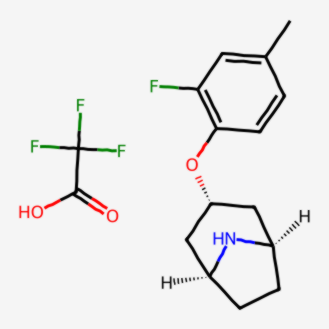 Cc1ccc(O[C@@H]2C[C@H]3CC[C@@H](C2)N3)c(F)c1.O=C(O)C(F)(F)F